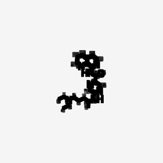 CCN(CC)CCCC(C)Nc1cnc(C(=O)Nc2nccc3cccnc23)cn1